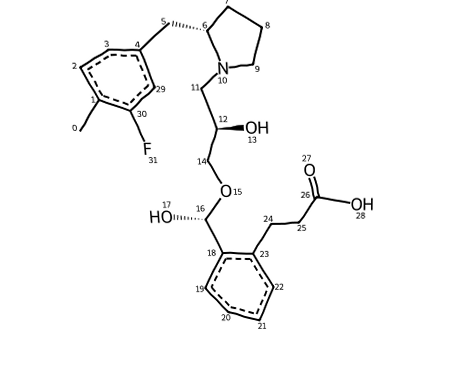 Cc1ccc(C[C@@H]2CCCN2C[C@@H](O)CO[C@@H](O)c2ccccc2CCC(=O)O)cc1F